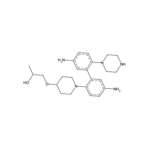 CC(O)COC1CCN(c2ccc(N)cc2-c2cc(N)ccc2N2CCNCC2)CC1